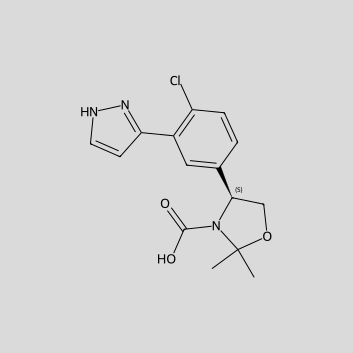 CC1(C)OC[C@H](c2ccc(Cl)c(-c3cc[nH]n3)c2)N1C(=O)O